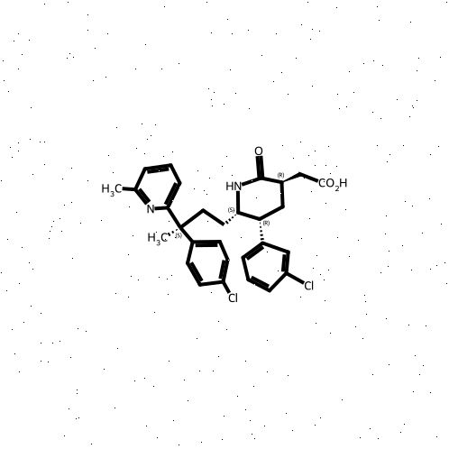 Cc1cccc([C@@](C)(CC[C@@H]2NC(=O)[C@@H](CC(=O)O)C[C@@H]2c2cccc(Cl)c2)c2ccc(Cl)cc2)n1